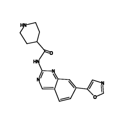 O=C(Nc1ncc2ccc(-c3cnco3)cc2n1)C1CCNCC1